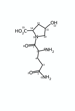 NC(=O)CCC(N)C(=O)N1CC(O)CC1C(=O)O